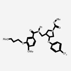 COCCCOc1cc(C(=O)N(CC2CN(C(=O)OC(C)(C)C)CC2Oc2ccc(C(F)(F)F)cc2)C(C)C)ccc1OC